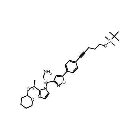 C[C@H](OC1CCCCO1)c1nccn1[C@H](CN)c1cc(-c2ccc(C#CCCCO[Si](C)(C)C(C)(C)C)cc2)on1